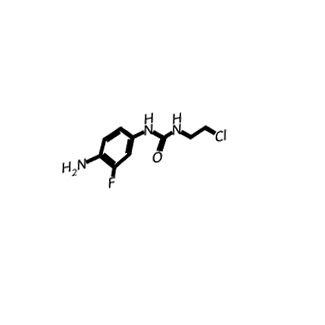 Nc1ccc(NC(=O)NCCCl)cc1F